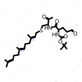 CC(=O)C(CSC/C=C(\C)CC/C=C(\C)CCC=C(C)C)NC(=O)C(CCC=O)NC(=O)OC(C)(C)C